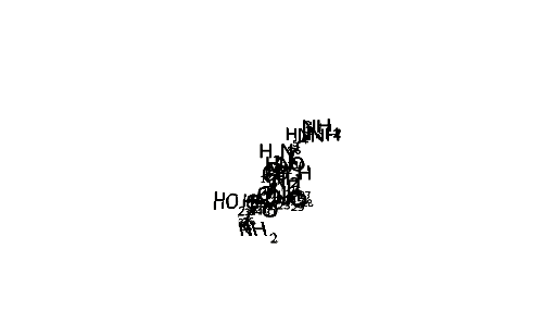 N=C(N)NCCC[C@H](N)C(=O)NCC(=O)N[C@@H](CC(=O)O)C(=O)N[C@@H](Cc1ccccc1)C(=O)N[C@@H](CCCCN)C(=O)O